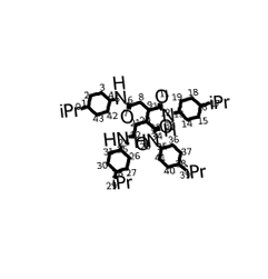 CC(C)C1CCC(NC(=O)CC(C(=O)NC2CCC(C(C)C)CC2)C(CC(=O)NC2CCC(C(C)C)CC2)C(=O)NC2CCC(C(C)C)CC2)CC1